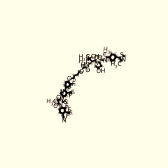 Cc1ncsc1-c1ccc([C@H](C)NC(=O)[C@@H]2C[C@@H](O)CN2C(=O)[C@@H](CNC(=O)COCCCCOc2ccc(-c3ncc(N4C(=S)N(c5ccc(C#N)c(C(F)(F)F)c5F)C(=O)C4(C)C)cc3C(F)(F)F)cc2F)C(C)(C)C)cc1